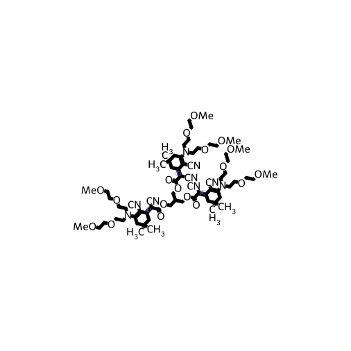 COCCOCCN(CCOCCOC)C1=C(C#N)/C(=C(\C#N)C(=O)OCC(COC(=O)/C(C#N)=C2\CC(C)(C)CC(N(CCOCCOC)CCOCCOC)=C2C#N)COC(=O)/C(C#N)=C2\CC(C)(C)CC(N(CCOCCOC)CCOCCOC)=C2C#N)CC(C)(C)C1